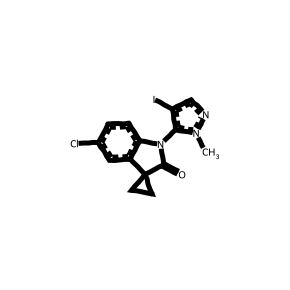 Cn1ncc(I)c1N1C(=O)C2(CC2)c2cc(Cl)ccc21